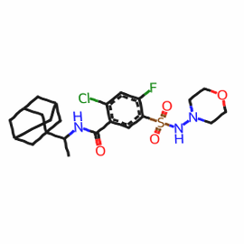 CC(NC(=O)c1cc(S(=O)(=O)NN2CCOCC2)c(F)cc1Cl)C12CC3CC(CC(C3)C1)C2